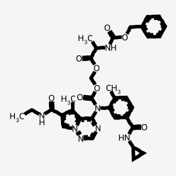 CCNC(=O)c1cn2ncnc(N(C(=O)OCOC(=O)C(C)NC(=O)OCc3ccccc3)c3cc(C(=O)NC4CC4)ccc3C)c2c1C